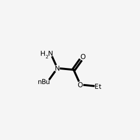 CCCCN(N)C(=O)OCC